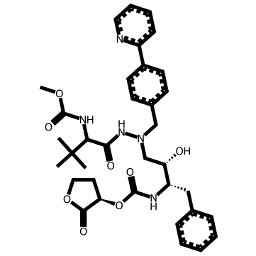 COC(=O)NC(C(=O)NN(Cc1ccc(-c2ccccn2)cc1)C[C@H](O)[C@H](Cc1ccccc1)NC(=O)O[C@@H]1CCOC1=O)C(C)(C)C